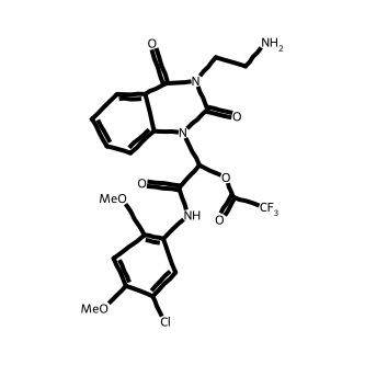 COc1cc(OC)c(NC(=O)C(OC(=O)C(F)(F)F)n2c(=O)n(CCN)c(=O)c3ccccc32)cc1Cl